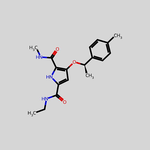 CCNC(=O)c1cc(O[C@H](C)c2ccc(C)cc2)c(C(=O)NC)[nH]1